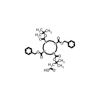 CC(C)(C)OC(=O)N1CCN(C(=O)OCc2ccccc2)CCN(C(=O)OC(C)(C)C)CCN(C(=O)OCc2ccccc2)CC1.O=CO